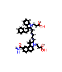 CNC(=O)c1ccc2ccc3c(c2c1)C(C)(C)C(/C=C/C=C/C=C1/N(CCC(=O)O)c2ccccc2C1(C)CCc1ccccc1)N3CCC(=O)O